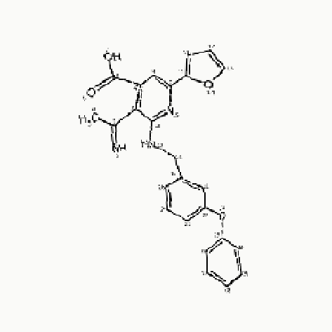 CC(=N)c1c(C(=O)O)cc(-c2ccco2)nc1NCc1cccc(Oc2ccccc2)c1